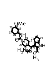 C/C=c1/[nH]c2c(/c1=C(/N=C\N)C1CCN(C(=O)NC3C=C(OC)C=CC3)CC1)CCC2